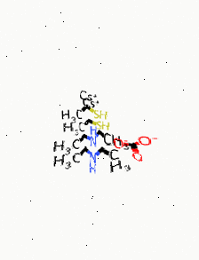 CCNCC.CCNCC.CCS.CCS.O=C([O-])[O-].[Cs+].[Cs+]